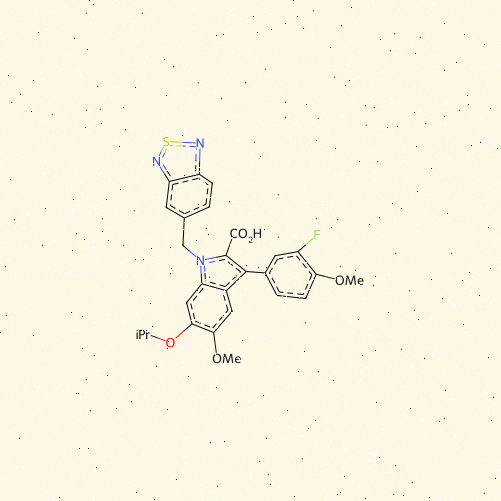 COc1ccc(-c2c(C(=O)O)n(Cc3ccc4nsnc4c3)c3cc(OC(C)C)c(OC)cc23)cc1F